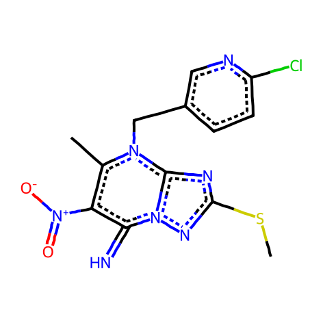 CSc1nc2n(Cc3ccc(Cl)nc3)c(C)c([N+](=O)[O-])c(=N)n2n1